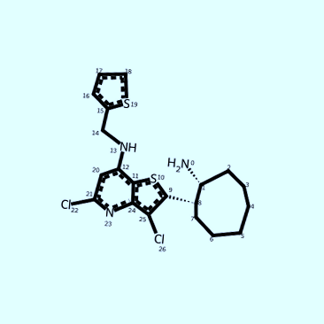 N[C@@H]1CCCCCC[C@@H]1c1sc2c(NCc3cccs3)cc(Cl)nc2c1Cl